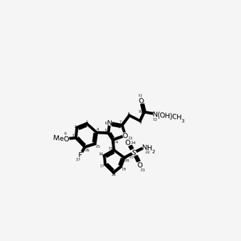 COc1ccc(-c2nc(CCC(=O)N(C)O)oc2-c2ccccc2S(N)(=O)=O)cc1F